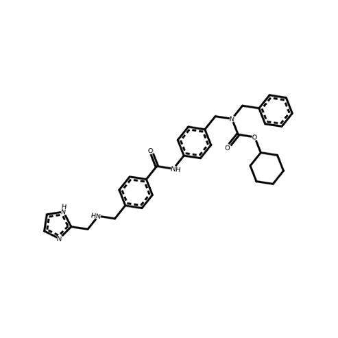 O=C(Nc1ccc(CN(Cc2ccccc2)C(=O)OC2CCCCC2)cc1)c1ccc(CNCc2ncc[nH]2)cc1